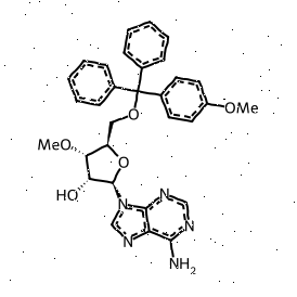 COc1ccc(C(OC[C@H]2O[C@@H](n3cnc4c(N)ncnc43)[C@H](O)[C@@H]2OC)(c2ccccc2)c2ccccc2)cc1